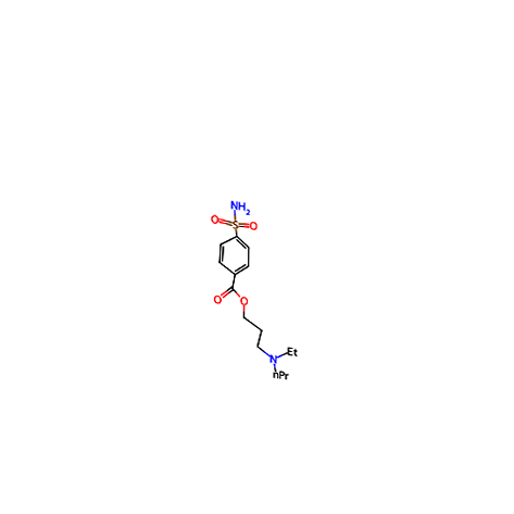 CCCN(CC)CCCOC(=O)c1ccc(S(N)(=O)=O)cc1